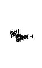 COc1ccc(-c2cc(Nc3nc(Sc4ccccc4)nc(N4CCN(C)CC4)n3)n[nH]2)cc1